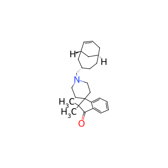 CC1(C)C(=O)c2ccccc2C12CCN(C[C@H]1CC[C@@H]3CC=C[C@H](C3)C1)CC2